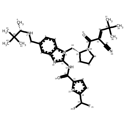 C[C@H](NCc1ccc2c(c1)nc(NC(=O)c1ccc(C(F)F)s1)n2C[C@H]1CCCN1C(=O)/C(C#N)=C/C(C)(C)C)C(C)(C)C